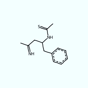 CC(=N)CC(Cc1ccccc1)NC(C)=S